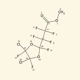 COC(=O)C(F)(F)C(F)(F)C1(F)OC(F)(Cl)C(F)(Cl)O1